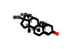 CC1(C=O)CC[C@H]2[C@@H]3CCC4=CC(=O)CC[C@]4(C)[C@@]3(C)CC[C@@]21C